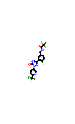 O=C(NCc1ccc(Cl)c(-c2nn(-c3ccc(C(F)(F)F)nc3)c(=O)[nH]2)c1)C(F)(F)F